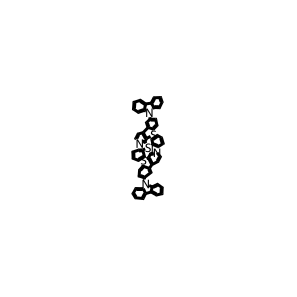 c1ccc([Si](c2ccccc2)(c2nccc3c2sc2ccc(-n4c5ccccc5c5ccccc54)cc23)c2nccc3c2sc2ccc(-n4c5ccccc5c5ccccc54)cc23)cc1